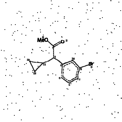 COC(=O)C(c1cccc(Br)c1)C1CC1